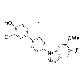 COc1cc2c(cnn2-c2ccc(-c3ccc(O)c(Cl)c3)cc2)cc1F